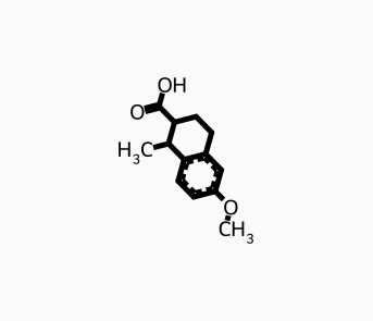 COc1ccc2c(c1)CCC(C(=O)O)C2C